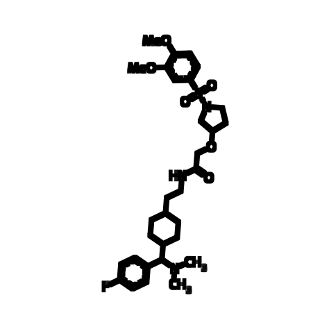 COc1ccc(S(=O)(=O)N2CCC(OCC(=O)NCCC3CCC(C(c4ccc(F)cc4)N(C)C)CC3)C2)cc1OC